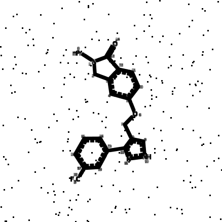 CCCN1Cc2cc(OCc3c[nH]nc3-c3cccc(C(F)(F)F)c3)ccc2C1=O